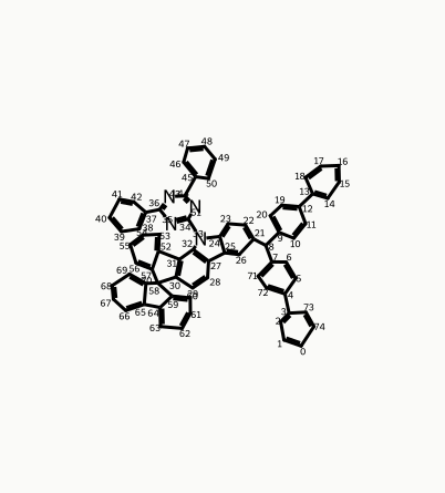 c1ccc(-c2ccc(C(c3ccc(-c4ccccc4)cc3)c3ccc4c(c3)c3ccc5c(c3n4-c3nc(-c4ccccc4)nc(-c4ccccc4)n3)-c3ccccc3C53c4ccccc4-c4ccccc43)cc2)cc1